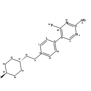 CCCc1ncc(-c2ccc(CC[C@H]3CC[C@H](CCC)CC3)cc2)c(F)n1